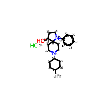 CC(C)[C@H]1CC[C@H](N2CCC3(CC2)C(O)CCN3c2ccccc2)CC1.Cl